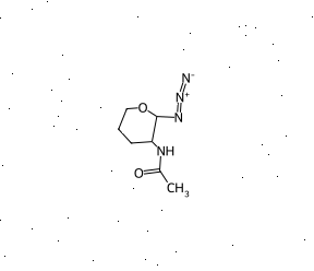 CC(=O)NC1CCCOC1N=[N+]=[N-]